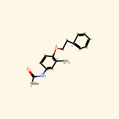 CNC(=O)Nc1ccc(OCCc2ccccc2)c([N+](=O)[O-])c1